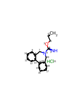 C=CCOC(=N)N1Cc2ccccc2-c2ccccc2C1.Cl